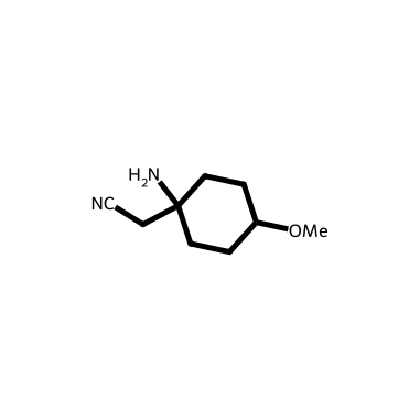 COC1CCC(N)(CC#N)CC1